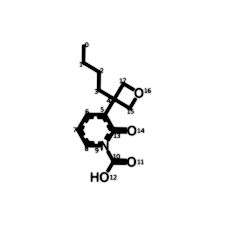 CCCCC1(c2cccn(C(=O)O)c2=O)COC1